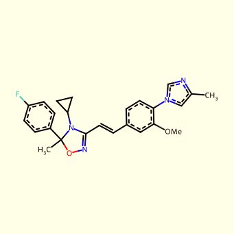 COc1cc(/C=C/C2=NOC(C)(c3ccc(F)cc3)N2C2CC2)ccc1-n1cnc(C)c1